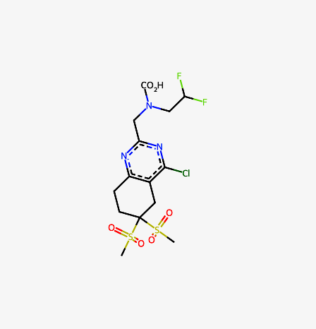 CS(=O)(=O)C1(S(C)(=O)=O)CCc2nc(CN(CC(F)F)C(=O)O)nc(Cl)c2C1